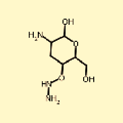 NNOC1CC(N)C(O)OC1CO